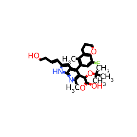 Cc1nc2[nH]c(/C=C/CCO)cc2c(-c2cc(F)c3c(c2C)CCCO3)c1C(OC(C)(C)C)C(=O)O